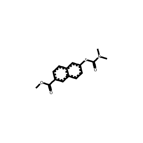 COC(=O)c1ccc2cc(SC(=O)N(C)C)ccc2c1